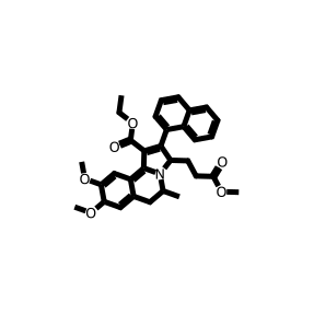 CCOC(=O)C1=C(c2cccc3ccccc23)C(CCC(=O)OC)N2C1=C1C=C(OC)C(OC)C=C1CC2C